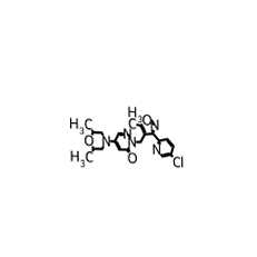 Cc1onc(-c2ccc(Cl)cn2)c1Cn1ncc(N2CC(C)OC(C)C2)cc1=O